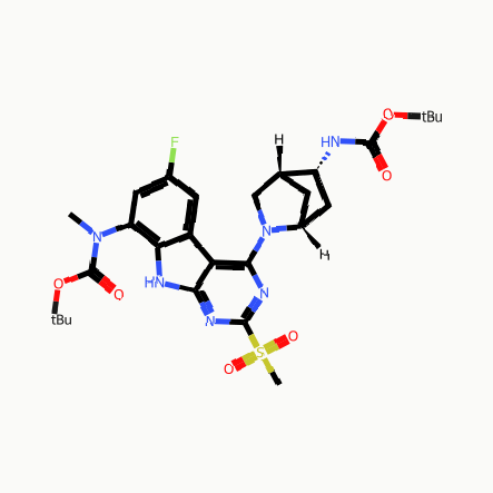 CN(C(=O)OC(C)(C)C)c1cc(F)cc2c1[nH]c1nc(S(C)(=O)=O)nc(N3C[C@H]4C[C@@H]3C[C@H]4NC(=O)OC(C)(C)C)c12